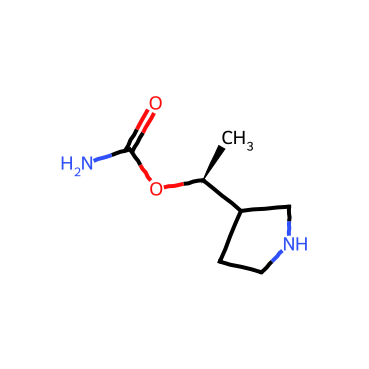 C[C@H](OC(N)=O)C1CCNC1